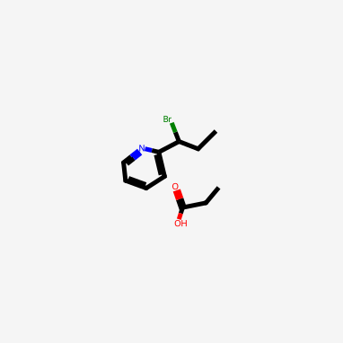 CCC(=O)O.CCC(Br)c1ccccn1